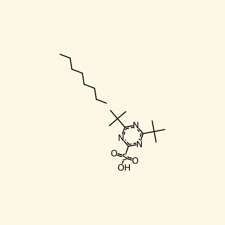 CC(C)(C)c1nc(C(C)(C)C)nc(S(=O)(=O)O)n1.CCCCCCCC